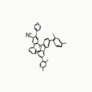 Cc1ccc(-c2ccc3c(c2)c2cc(-c4ccc(C)cc4C)ccc2n3-c2cc(-c3ccncc3)c(C#N)cc2-c2ccccc2)c(C)c1